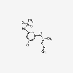 C=NC=C(C)Nc1cc(Cl)cc(NS(C)(=O)=O)c1